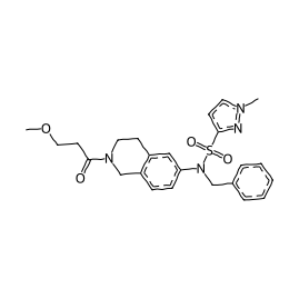 COCCC(=O)N1CCc2cc(N(Cc3ccccc3)S(=O)(=O)c3ccn(C)n3)ccc2C1